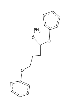 POC(CCCOc1ccccc1)Oc1ccccc1